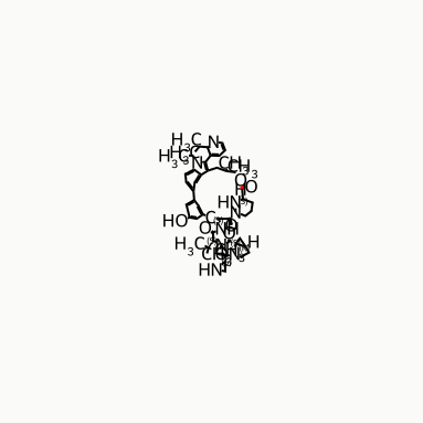 CCn1c(-c2cccnc2C(C)C)c2c3cc(ccc31)-c1cc(O)cc(c1)C[C@H](NC(=O)[C@H](C(C)C)N(C)C(=O)[C@]13C[C@H]1CCN3C(=O)[C@@H]1CN1)C(=O)N1CCC[C@H](N1)C(=O)OCC(C)(C)C2